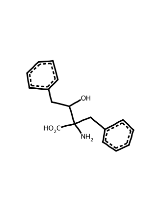 NC(Cc1ccccc1)(C(=O)O)C(O)Cc1ccccc1